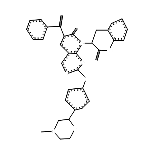 C=C(c1ccccc1)c1cc2cnc(Nc3ccc(C4CN(C)CCO4)cc3)nc2n(C2Cc3ccccc3NC2=O)c1=O